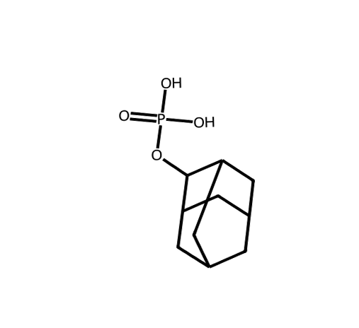 O=P(O)(O)OC1C2CC3CC(C2)CC1C3